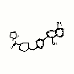 Cc1nccc2c(C)c(-c3ccc(OC4CCN(C(=O)[C@H]5CCCO5)CC4)cc3)ccc12